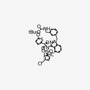 CC(C)(C)OC(=O)NCc1cccc(Cn2nc(N(S(=O)(=O)c3ccc(Cl)s3)S(=O)(=O)c3ccc(Cl)s3)c3c(C=O)cccc32)c1